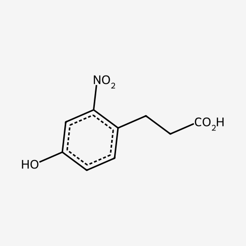 O=C(O)CCc1ccc(O)cc1[N+](=O)[O-]